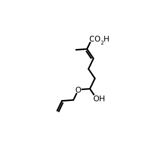 C=CCOC(O)CCC=C(C)C(=O)O